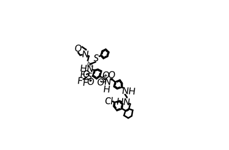 O=C(NS(=O)(=O)c1ccc(N[C@H](CCN2CCOCC2)CSc2ccccc2)c(S(=O)(=O)C(F)(F)F)c1)c1ccc(NCCNCC2=C(c3ccc(Cl)cc3)CCCC2)cc1